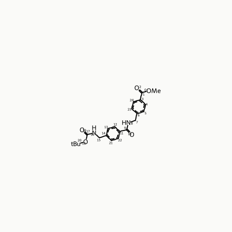 COC(=O)c1ccc(CNC(=O)c2ccc(CNC(=O)OC(C)(C)C)cc2)cc1